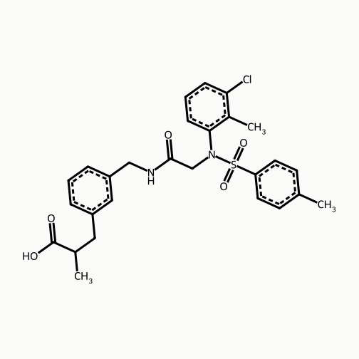 Cc1ccc(S(=O)(=O)N(CC(=O)NCc2cccc(CC(C)C(=O)O)c2)c2cccc(Cl)c2C)cc1